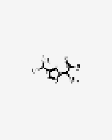 CC(C)c1cnn(C(C)C(=O)O)c1